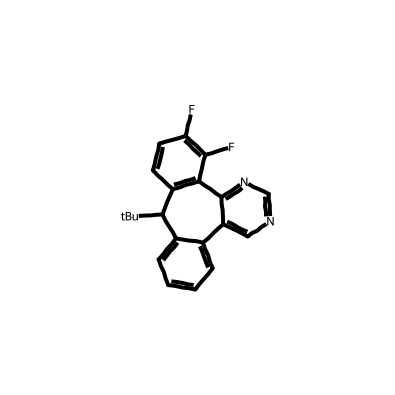 CC(C)(C)C1c2ccccc2-c2cncnc2-c2c1ccc(F)c2F